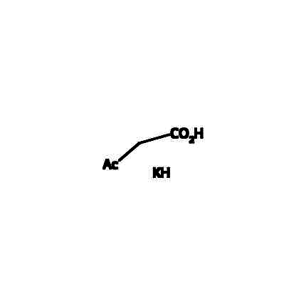 CC(=O)CC(=O)O.[KH]